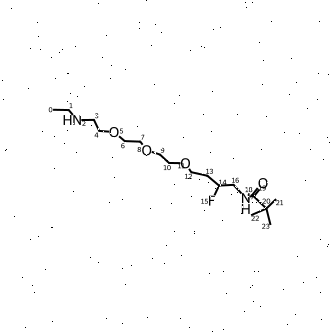 CCNCCOCCOCCOCCC(F)CNC(=O)C(C)(C)C